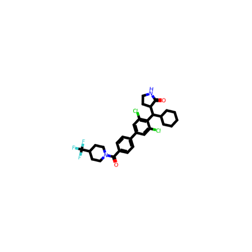 O=C1NCCC1C(c1c(Cl)cc(-c2ccc(C(=O)N3CCC(C(F)(F)F)CC3)cc2)cc1Cl)C1CCCCC1